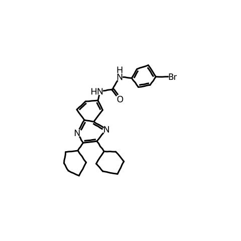 O=C(Nc1ccc(Br)cc1)Nc1ccc2nc(C3CCCCC3)c(C3CCCCC3)nc2c1